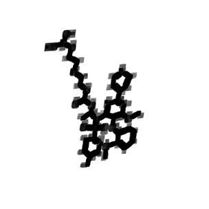 COc1ccccc1Oc1c(OC)nc(-c2ccncc2)nc1N(C(C)OC(=O)OCCOCCON(O)O)S(=O)(=O)c1ccc(C)cn1